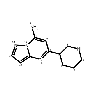 Nc1cc(C2CCCNC2)nc2ccnn12